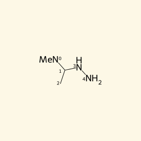 CNC(C)NN